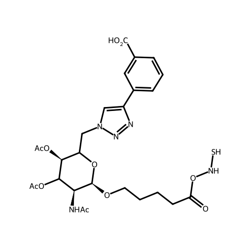 CC(=O)N[C@H]1C(OC(C)=O)[C@@H](OC(C)=O)C(Cn2cc(-c3cccc(C(=O)O)c3)nn2)O[C@H]1OCCCCC(=O)ONS